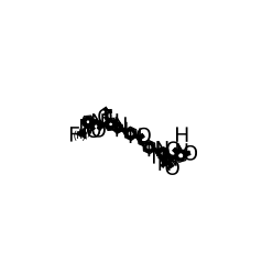 CC(C)Oc1cc2nn(C3CCN(C(=O)CC4CCN(c5ncc6c(n5)n(C)c(=O)n6C5CCC(=O)NC5=O)CC4)CC3)cc2cc1C(=O)Nc1cccn([C@H]2C[C@H]2F)c1=O